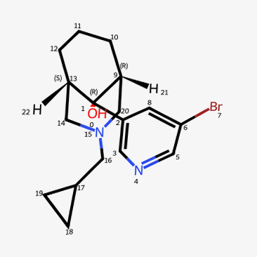 O[C@@]1(c2cncc(Br)c2)[C@@H]2CCC[C@H]1CN(CC1CC1)C2